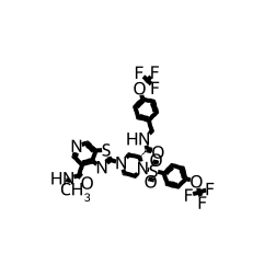 CNC(=O)c1cncc2sc(N3CCN(S(=O)(=O)c4ccc(OC(F)(F)F)cc4)[C@@H](C(=O)NCc4ccc(OC(F)(F)F)cc4)C3)nc12